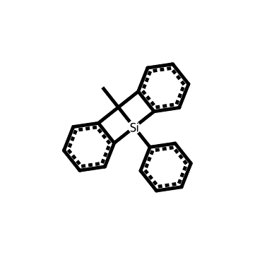 CC12c3ccccc3[Si]1(c1ccccc1)c1ccccc12